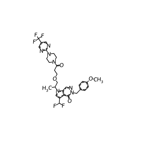 COc1ccc(Cn2ncc3c(c(C(F)F)cn3C(C)COCCC(=O)N3CCN(c4ncc(C(F)(F)F)cn4)CC3)c2=O)cc1